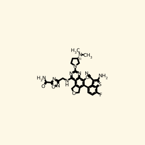 CN(C)[C@H]1CCN(c2nc(NCc3noc(C(N)=O)n3)c3c4c(c(-c5ccc(F)c6sc(N)c(C#N)c56)c(Cl)c3n2)COC4)C1